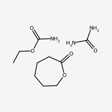 CCOC(N)=O.NC(N)=O.O=C1CCCCCO1